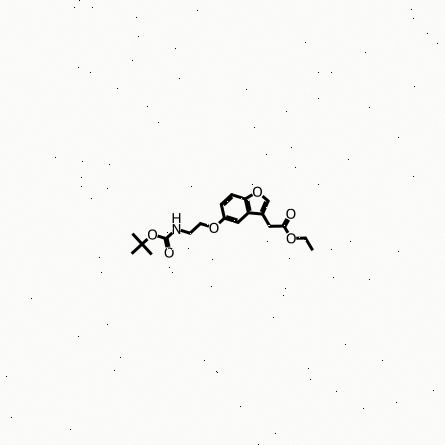 CCOC(=O)Cc1coc2ccc(OCCNC(=O)OC(C)(C)C)cc12